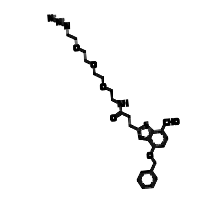 [N-]=[N+]=NCCOCCOCCOCCNC(=O)CCc1cc2c(OCc3ccccc3)ccc(C=O)c2s1